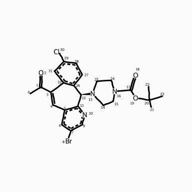 CC(=O)C1=Cc2cc(Br)cnc2[C@H](N2CCN(C(=O)OC(C)(C)C)CC2)c2ccc(Cl)cc21